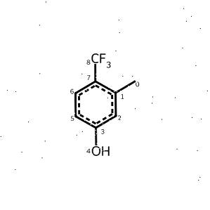 Cc1cc(O)ccc1C(F)(F)F